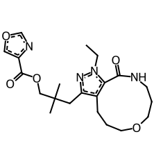 CCn1nc(CC(C)(C)COC(=O)c2cocn2)c2c1C(=O)NCCCOCCC2